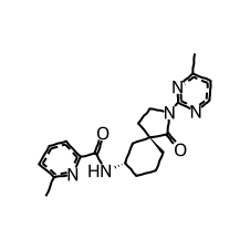 Cc1cccc(C(=O)N[C@H]2CCC[C@]3(CCN(c4nccc(C)n4)C3=O)C2)n1